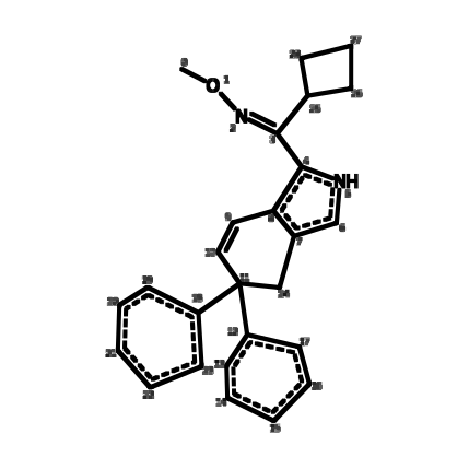 CON=C(c1[nH]cc2c1C=CC(c1ccccc1)(c1ccccc1)C2)C1CCC1